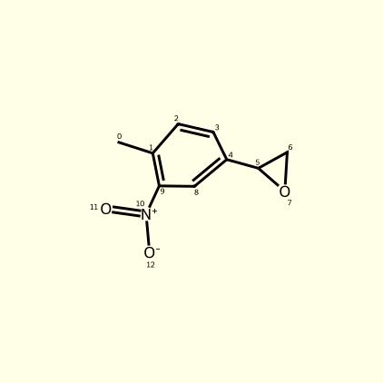 Cc1ccc(C2CO2)cc1[N+](=O)[O-]